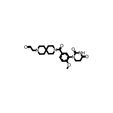 COc1ccc(C(=O)N2CCC3(CCN(CC=O)CC3)CC2)cc1N1CCC(=O)NC1=O